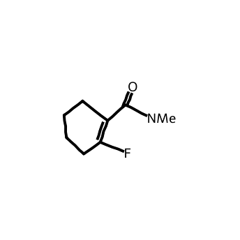 CNC(=O)C1=C(F)CCCC1